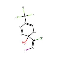 OC1(/C(Cl)=C\I)C=CC(C(F)(F)F)=CC1